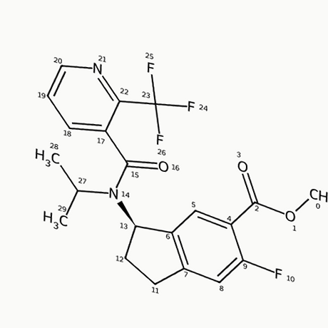 COC(=O)c1cc2c(cc1F)CC[C@H]2N(C(=O)c1cccnc1C(F)(F)F)C(C)C